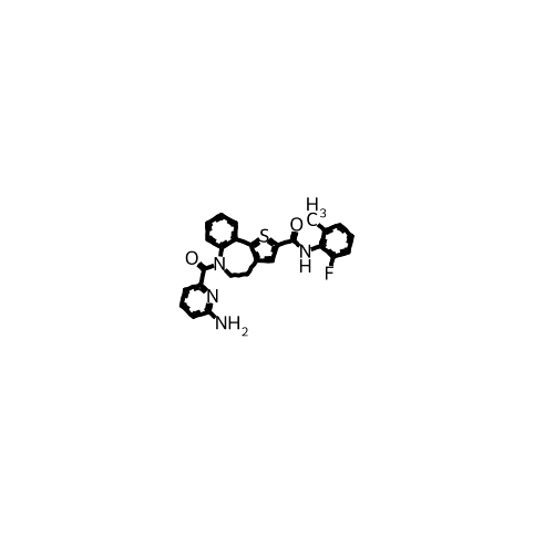 Cc1cccc(F)c1NC(=O)c1cc2c(s1)-c1ccccc1N(C(=O)c1cccc(N)n1)CC2